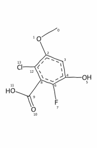 COc1cc(O)c(F)c(C(=O)O)c1Cl